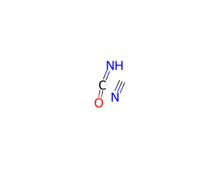 C#N.N=C=O